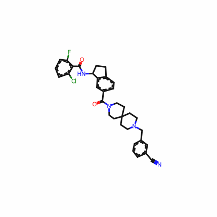 N#Cc1cccc(CN2CCC3(CC2)CCN(C(=O)c2ccc4c(c2)C(NC(=O)c2c(F)cccc2Cl)CC4)CC3)c1